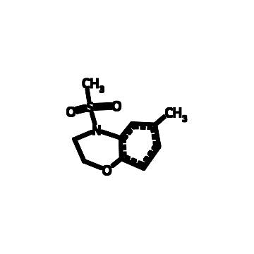 Cc1ccc2c(c1)N(S(C)(=O)=O)CCO2